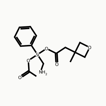 CC(=O)O[Si](CN)(OC(=O)CC1(C)COC1)c1ccccc1